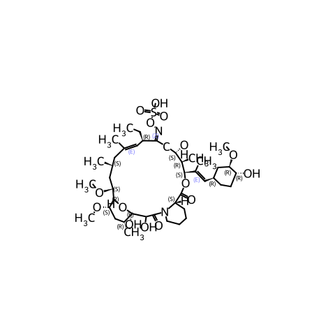 CC[C@@H]1/C=C(\C)C[C@H](C)C[C@H](OC)[C@H]2O[C@@](O)(C(O)C(=O)N3CCCC[C@H]3C(=O)O[C@H](/C(C)=C/[C@@H]3CC[C@@H](O)[C@H](OC)C3)[C@H](C)[C@@H](O)C/C1=N/OS(=O)(=O)O)[C@H](C)C[C@@H]2OC